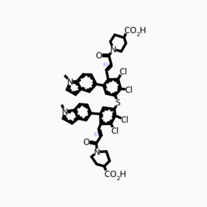 Cn1ccc2cc(-c3cc(Sc4cc(-c5ccc6c(ccn6C)c5)c(/C=C/C(=O)N5CCC(C(=O)O)CC5)c(Cl)c4Cl)c(Cl)c(Cl)c3/C=C/C(=O)N3CCC(C(=O)O)CC3)ccc21